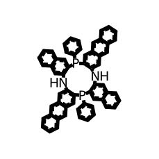 c1ccc(P2c3cc4ccccc4cc3Nc3cc4cc5ccccc5cc4cc3P(c3ccccc3)c3cc4ccccc4cc3Nc3cc4cc5ccccc5cc4cc32)cc1